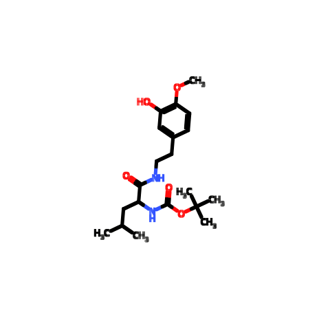 COc1ccc(CCNC(=O)C(CC(C)C)NC(=O)OC(C)(C)C)cc1O